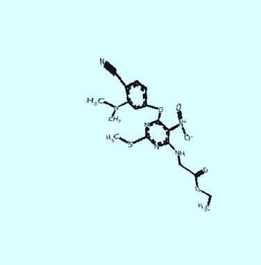 CCOC(=O)CNc1nc(SC)nc(Oc2ccc(C#N)c(N(C)C)c2)c1[N+](=O)[O-]